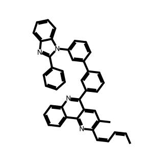 C/C=C\C=C/c1nc2c(cc1C)c(-c1cccc(-c3cccc(-n4c(-c5ccccc5)nc5ccccc54)c3)c1)nc1ccccc12